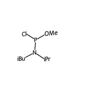 CCC(C)N(C(C)C)P(Cl)OC